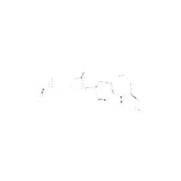 CC(=O)NC[C@H]1CN(c2ccc3c(c2)OCC/C(=C/N(C)C)C3=O)C(=O)O1